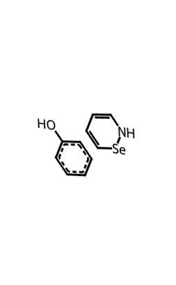 C1=CN[Se]C=C1.Oc1ccccc1